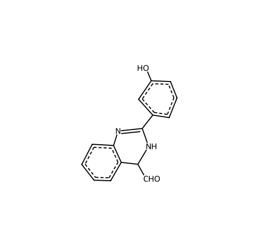 O=CC1NC(c2cccc(O)c2)=Nc2ccccc21